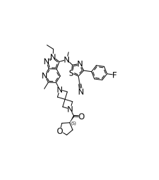 CCn1nc2nc(C)c(N3CC4(CN(C(=O)[C@H]5CCOC5)C4)C3)cc2c1N(C)c1nc(-c2ccc(F)cc2)c(C#N)s1